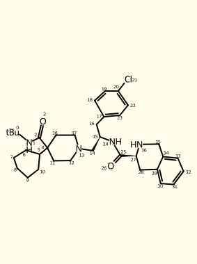 CC(C)(C)NC(=O)C1(C2CCCCC2)CCN(C[C@@H](Cc2ccc(Cl)cc2)NC(=O)[C@@H]2Cc3ccccc3CN2)CC1